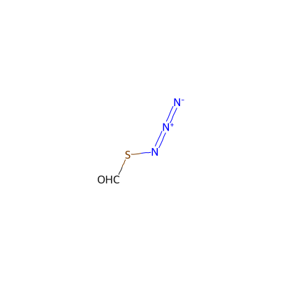 [N-]=[N+]=NSC=O